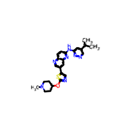 CC(C)c1cnnc(Nc2ccc3ncc(-c4cnc(OC5CCN(C)CC5)s4)cc3n2)c1